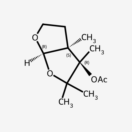 CC(=O)O[C@@]1(C)C(C)(C)O[C@H]2OCC[C@]21C